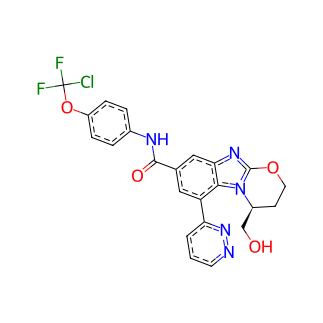 O=C(Nc1ccc(OC(F)(F)Cl)cc1)c1cc(-c2cccnn2)c2c(c1)nc1n2[C@H](CO)CCO1